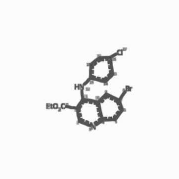 CCOC(=O)c1cnc2ccc(Br)cc2c1Nc1ccc(Cl)cc1